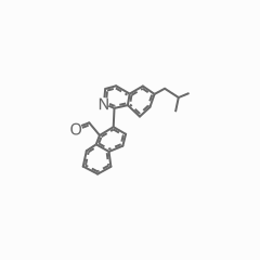 CC(C)Cc1ccc2c(-c3ccc4ccccc4c3C=O)nccc2c1